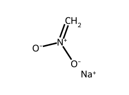 C=[N+]([O-])[O-].[Na+]